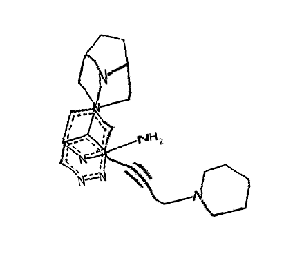 Nc1nnccc1N1CC2CCC(C1)N2c1ccnc(C#CCN2CCCCC2)c1